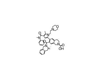 Cc1c(C(=O)N(C)c2ccccc2)cc(-c2cc3c(cc2C(=O)N2Cc4ccccc4C[C@H]2C)CN(C(=O)O)CC3)n1CCN1CCOCC1